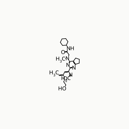 C=N/C(=C\C(=C/C)OCCO)c1nc2c(c(N(C)CC(=O)NC3CCCCC3)n1)CCC2